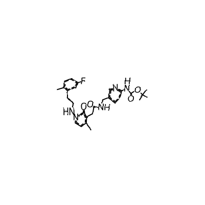 Cc1ccc(F)cc1CCNn1ccc(C)c(CC(=O)NCc2ccc(NC(=O)OC(C)(C)C)nc2)c1=O